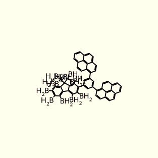 Bc1c(B)c(B)c2c(c1B)-c1c(B)c(B)c(-c3cc(-c4ccc5ccc6cccc7ccc4c5c67)cc(-c4ccc5ccc6cccc7ccc4c5c67)c3)c(B)c1C2(C(B)(B)B)C(B)(B)B